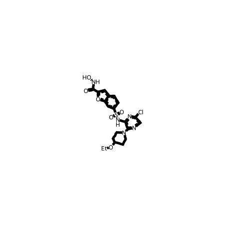 CCOC1CCN(c2ncc(Cl)nc2NS(=O)(=O)c2ccc3cc(C(=O)NO)oc3c2)CC1